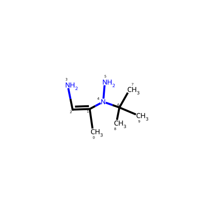 C/C(=C/N)N(N)C(C)(C)C